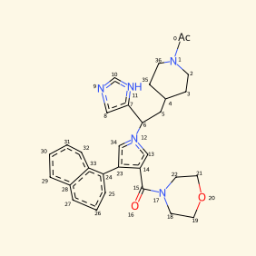 CC(=O)N1CCC(CC(c2cnc[nH]2)n2cc(C(=O)N3CCOCC3)c(-c3cccc4ccccc34)c2)CC1